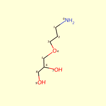 NCCCOCC(O)CO